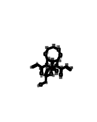 C=CC(=O)N1C(OCC[O])N(C(=O)C=C)C2OOCCOC1N2C(=O)C=C